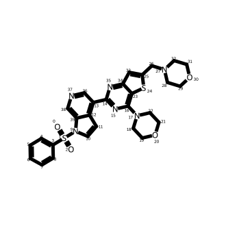 O=S(=O)(c1ccccc1)n1ccc2c(-c3nc(N4CCOCC4)c4sc(CN5CCOCC5)cc4n3)cncc21